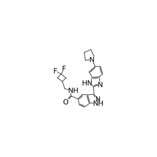 O=C(NCC1CC(F)(F)C1)c1ccc2[nH]nc(-c3nc4ccc(N5CCCC5)cc4[nH]3)c2c1